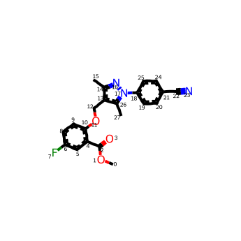 COC(=O)c1cc(F)ccc1OCc1c(C)nn(-c2ccc(C#N)cc2)c1C